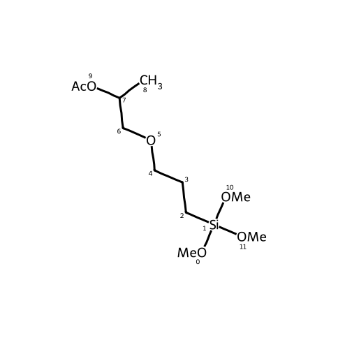 CO[Si](CCCOCC(C)OC(C)=O)(OC)OC